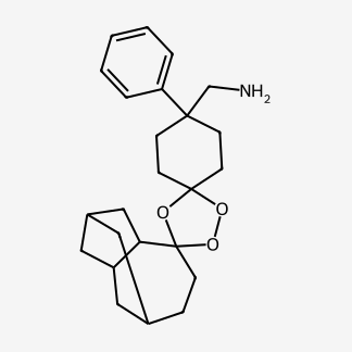 NCC1(c2ccccc2)CCC2(CC1)OOC1(CCC3CC4CC(C3)C1C4)O2